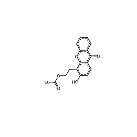 CCC(=O)OCCc1c(O)ccc2c(=O)c3ccccc3oc12